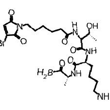 BC(=O)[C@@H](C)NC(=O)[C@H](CCCCN)NC(=O)[C@@H](NC(=O)CCCCCN1C(=O)C=C(Br)C1=O)[C@@H](C)O